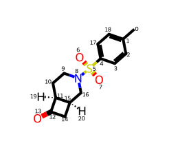 Cc1ccc(S(=O)(=O)N2CC[C@@H]3C(=O)C[C@@H]3C2)cc1